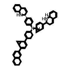 C1=CC2=CCC(C3=C[C@H]4CC4(N(C4=CC=C(C5=CC=C(c6ccc7c(c6)CCC=C7)C6CC56)CC4)c4ccc([C@H]5C=CC6C=CC=CC6N5)cc4)C=C3)N[C@H]2C=C1